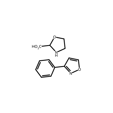 O=C(O)C1NCCO1.c1ccc(-c2ccon2)cc1